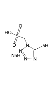 O=S(=O)(O)Cn1nnnc1S.[NaH]